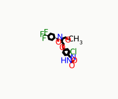 COCc1nc([C@H]2CC[C@H](C(F)(F)F)CC2)oc1COc1ccc(-c2noc(=O)[nH]2)c(Cl)c1